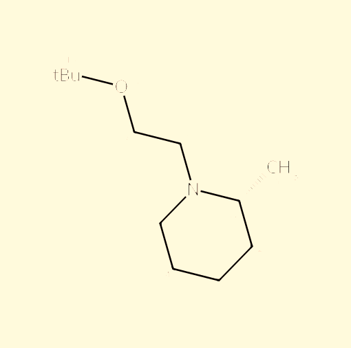 C[C@@H]1CCCCN1CCOC(C)(C)C